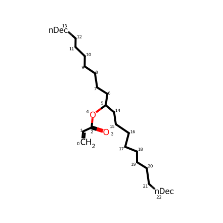 C=CC(=O)OC(CCCCCCCCCCCCCCCCC)CCCCCCCCCCCCCCCCCC